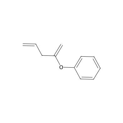 C=CCC(=C)Oc1ccccc1